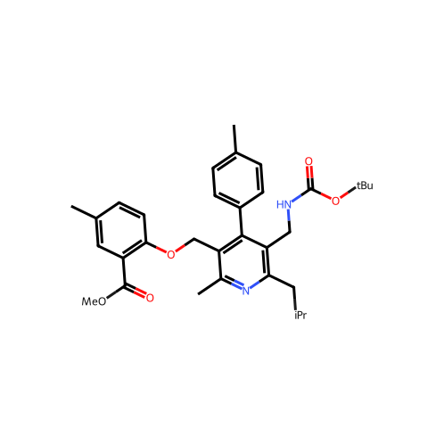 COC(=O)c1cc(C)ccc1OCc1c(C)nc(CC(C)C)c(CNC(=O)OC(C)(C)C)c1-c1ccc(C)cc1